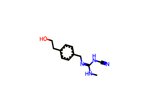 CN/C(=N/Cc1ccc(CCO)cc1)NC#N